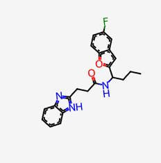 CCCC(NC(=O)CCc1nc2ccccc2[nH]1)c1cc2cc(F)ccc2o1